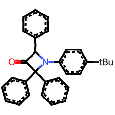 CC(C)(C)c1ccc(N2C(c3ccccc3)C(=O)C2(c2ccccc2)c2ccccc2)cc1